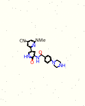 [C-]#[N+]c1cc(NC)nc(-c2c[nH]c(=O)c(NC(=O)c3ccc(N4CCNCC4)cc3)c2)c1